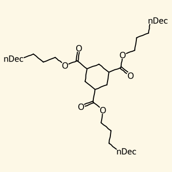 CCCCCCCCCCCCCOC(=O)C1CC(C(=O)OCCCCCCCCCCCCC)CC(C(=O)OCCCCCCCCCCCCC)C1